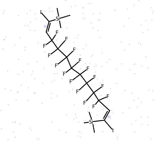 C[Si](C)(C)/C(I)=C\C(F)(F)C(F)(F)C(F)(F)C(F)(F)C(F)(F)C(F)(F)C(F)(F)C(F)(F)/C=C(/I)[Si](C)(C)C